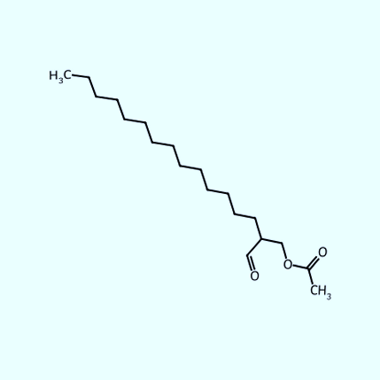 CCCCCCCCCCCCCCC(C=O)COC(C)=O